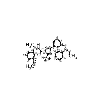 CCN(Cc1cccc(-c2nc(C(F)(F)F)c(C(=O)N[C@@H](C)c3cccc(OC)c3)s2)c1)c1ccncc1